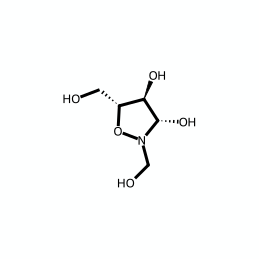 OC[C@H]1ON(CO)[C@@H](O)[C@@H]1O